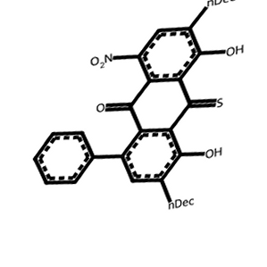 CCCCCCCCCCc1cc(-c2ccccc2)c2c(c1O)C(=S)c1c(O)c(CCCCCCCCCC)cc([N+](=O)[O-])c1C2=O